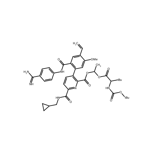 C=Cc1cc(C(=O)Nc2ccc(C(=N)N)cc2)c(-c2ccc(C(=O)NCC3CC3)nc2C(=O)OC(C)OC(=O)C(NC(=O)OC(C)(C)C)C(C)CC)cc1OC